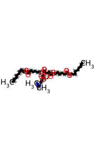 CCCCCC/C=C\COC(=O)CCCCCOC(=O)CC(OC(=O)OCCN(C)C)C(=O)OCCCCCC(=O)OC/C=C\CCCCCC